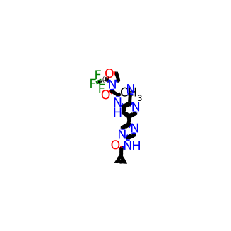 CC(Nc1cc(-c2cnc(NC(=O)C3CC3)cn2)cnc1C#N)C(=O)N1CCO[C@H]1C(F)(F)F